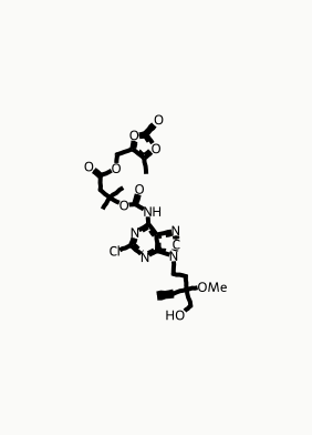 C#CC(CO)(CCn1cnc2c(NC(=O)OC(C)(C)CC(=O)OCc3oc(=O)oc3C)nc(Cl)nc21)OC